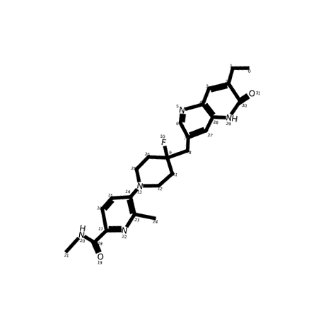 CCc1cc2ncc(CC3(F)CCN(c4ccc(C(=O)NC)nc4C)CC3)cc2[nH]c1=O